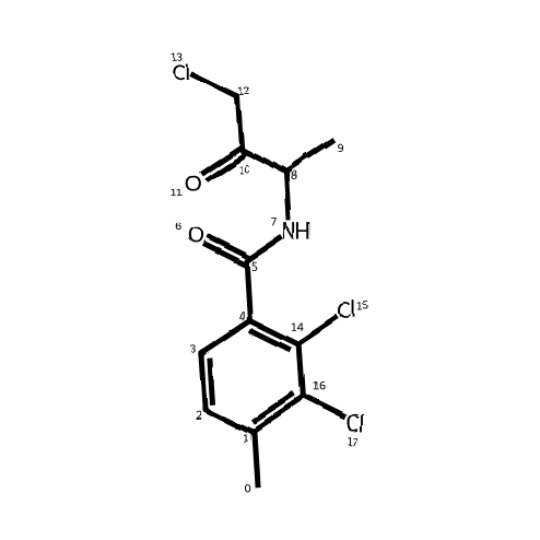 Cc1ccc(C(=O)NC(C)C(=O)CCl)c(Cl)c1Cl